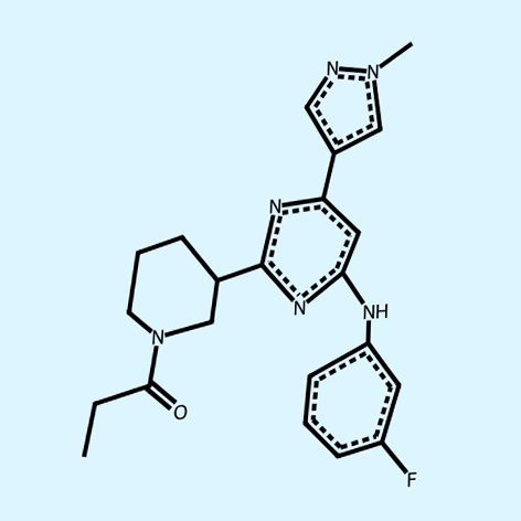 CCC(=O)N1CCCC(c2nc(Nc3cccc(F)c3)cc(-c3cnn(C)c3)n2)C1